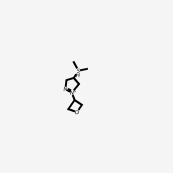 C[SH](C)C1CN=[N+](C2COC2)C1